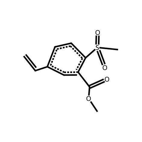 C=Cc1ccc(S(C)(=O)=O)c(C(=O)OC)c1